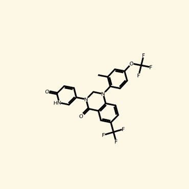 Cc1cc(OC(F)(F)F)ccc1N1CN(c2ccc(=O)[nH]c2)C(=O)c2cc(C(F)(F)F)ccc21